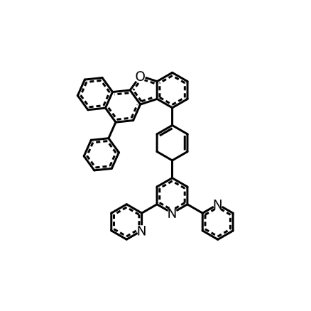 C1=CC(c2cc(-c3ccccn3)nc(-c3ccccn3)c2)CC=C1c1cccc2oc3c4ccccc4c(-c4ccccc4)cc3c12